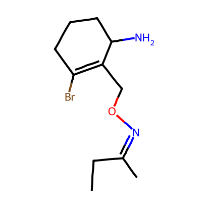 CCC(C)=NOCC1=C(Br)CCCC1N